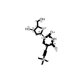 C[Si](C)(C)C#Cc1cn([C@H]2C[C@@H](O)C(CO)O2)c(=O)[nH]c1=O